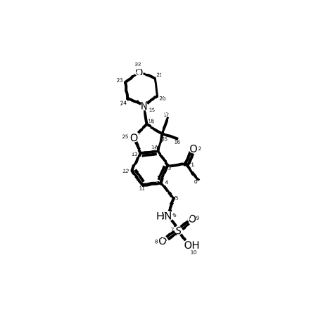 CC(=O)c1c(CNS(=O)(=O)O)ccc2c1C(C)(C)C(N1CCOCC1)O2